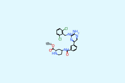 CC(C)(C)OC(=O)[C@H]1CC(NC(=O)c2cccc(-c3cnc(N)c(NCc4c(Cl)cccc4Cl)n3)c2)CCN1